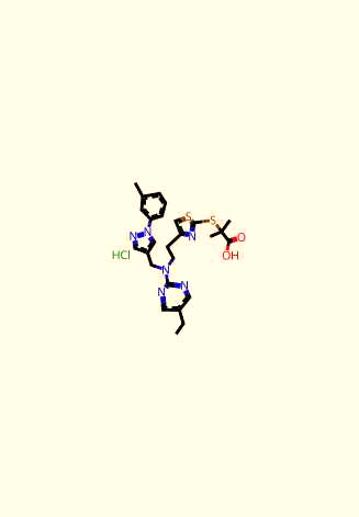 CCc1cnc(N(CCc2csc(SC(C)(C)C(=O)O)n2)Cc2cnn(-c3cccc(C)c3)c2)nc1.Cl